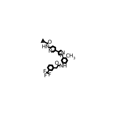 Cc1ccc(NC(=O)Cc2cccc(C(F)(F)F)c2)cc1-n1cc(-c2ccc(NC(=O)C3CC3)nc2)cn1